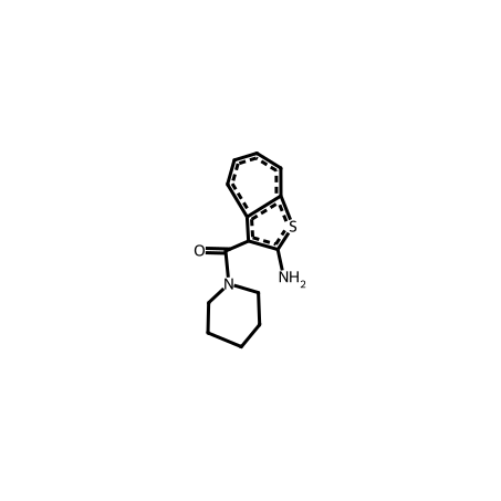 Nc1sc2ccccc2c1C(=O)N1CCCCC1